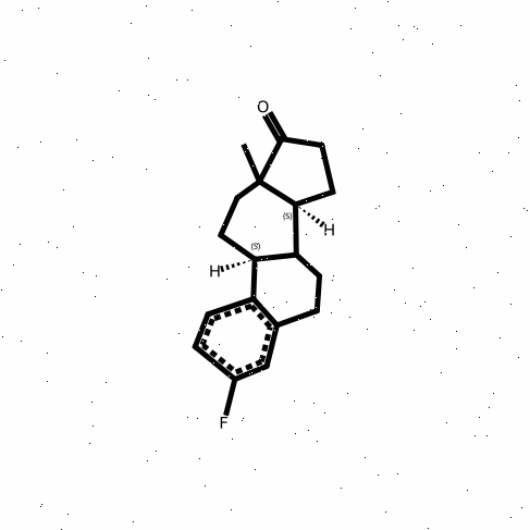 CC12CC[C@@H]3c4ccc(F)cc4CCC3[C@@H]1CCC2=O